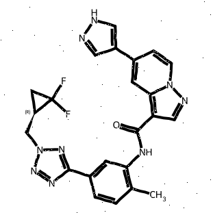 Cc1ccc(-c2nnn(C[C@H]3CC3(F)F)n2)cc1NC(=O)c1cnn2ccc(-c3cn[nH]c3)cc12